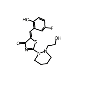 O=C1N=C(N2CCCCN2CCO)S/C1=C\c1cc(F)ccc1O